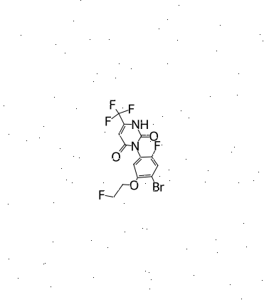 O=c1cc(C(F)(F)F)[nH]c(=O)n1-c1cc(OCCF)c(Br)cc1F